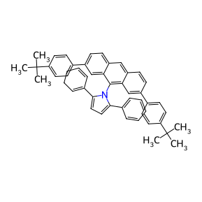 CC(C)(C)c1ccc(-c2ccc3cc4ccc(-c5ccc(C(C)(C)C)cc5)cc4c(-n4c(C5=CCCC=C5)ccc4-c4ccccc4)c3c2)cc1